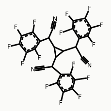 N#CC(c1c(F)c(F)c(F)c(F)c1F)C1C(C(C#N)c2c(F)c(F)c(F)c(F)c2F)C1C(C#N)c1c(F)c(F)c(F)c(F)c1F